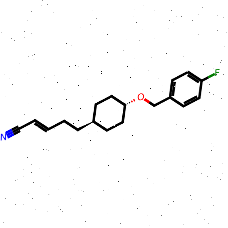 N#CC=CCC[C@H]1CC[C@H](OCc2ccc(F)cc2)CC1